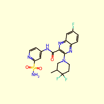 CC1CN(c2nc3ccc(F)cc3nc2C(=O)Nc2ccnc(S(N)(=O)=O)c2)CCC1(F)F